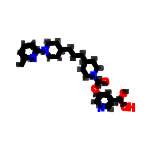 Cc1cccc(N2CCC(CCCC3CCN(C(=O)Oc4cncc(C(=O)O)c4)CC3)CC2)n1